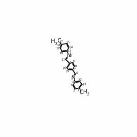 Cc1ccc(N=Cc2ccc(C=Nc3ccc(C)cc3)cc2)cc1